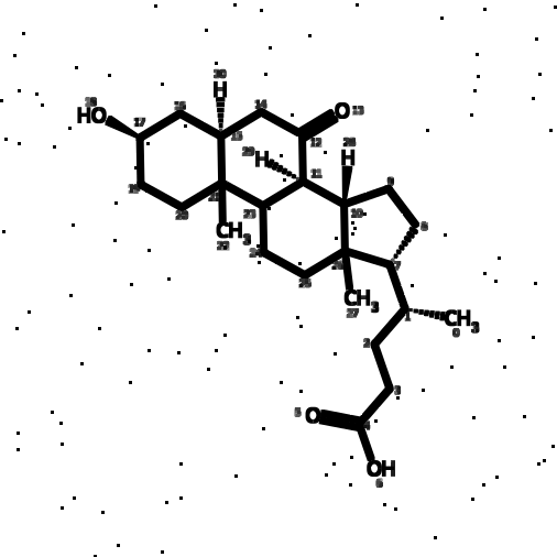 C[C@H](CCC(=O)O)[C@H]1CC[C@H]2[C@@H]3C(=O)C[C@@H]4C[C@H](O)CCC4(C)C3CCC12C